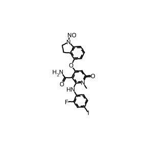 Cn1c(Nc2ccc(I)cc2F)c(C(N)=O)c(Oc2cccc3c2CCN3N=O)cc1=O